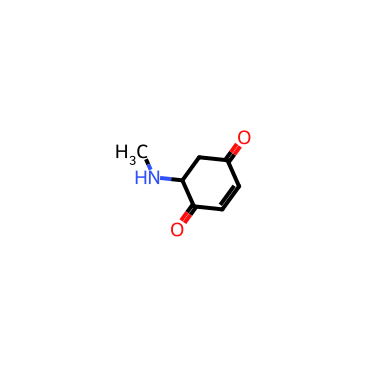 CNC1CC(=O)C=CC1=O